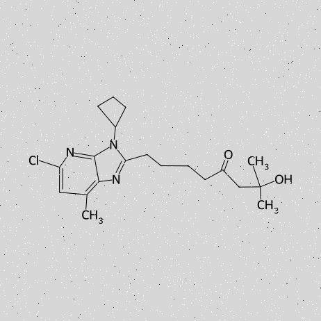 Cc1cc(Cl)nc2c1nc(CCCCC(=O)CC(C)(C)O)n2C1CCC1